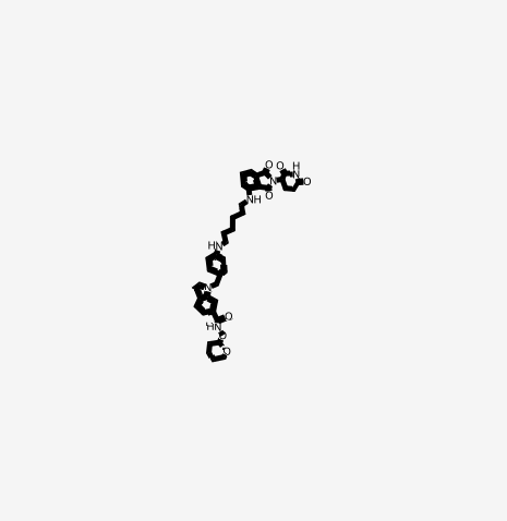 O=C1CCC(N2C(=O)c3cccc(NCCCCCCNc4ccc(Cn5ccc6ccc(C(=O)NOC7CCCCO7)cc65)cc4)c3C2=O)C(=O)N1